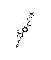 CN(CCO[Si](C)(C)C(C)(C)C)c1ccc(N2C[C@H](CN=[N+]=[N-])OC2=O)cc1F